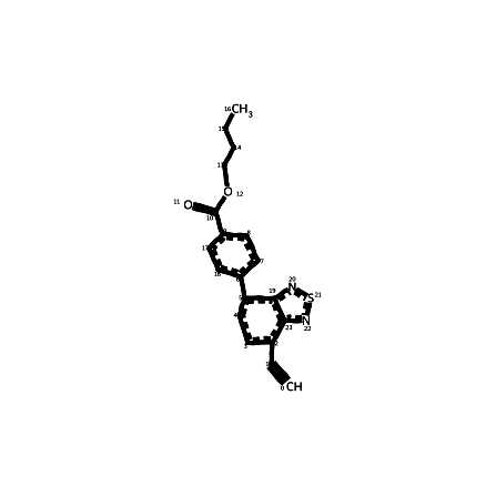 C#Cc1ccc(-c2ccc(C(=O)OCCCC)cc2)c2nsnc12